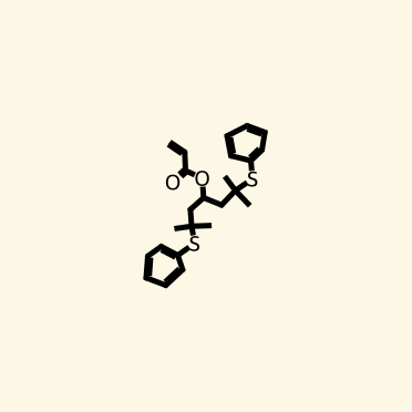 C=CC(=O)OC(CC(C)(C)Sc1ccccc1)CC(C)(C)Sc1ccccc1